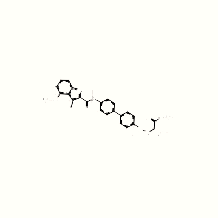 COC(=O)[C@@H](NS(=O)(=O)c1ccc(-c2ccc(NC(=O)c3oc4cccc(OC)c4c3C)cc2)cc1)C(C)C